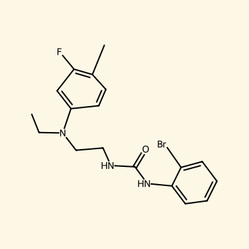 CCN(CCNC(=O)Nc1ccccc1Br)c1ccc(C)c(F)c1